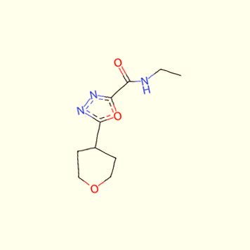 CCNC(=O)c1nnc(C2CCOCC2)o1